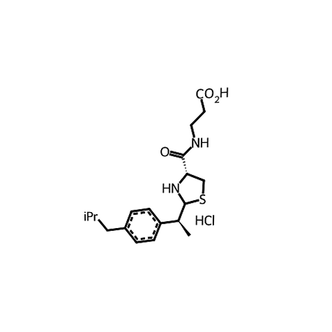 CC(C)Cc1ccc([C@H](C)C2N[C@H](C(=O)NCCC(=O)O)CS2)cc1.Cl